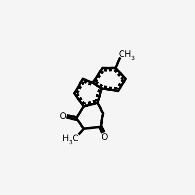 Cc1ccc2c3c(ccc2c1)C(=O)C(C)C(=O)C3